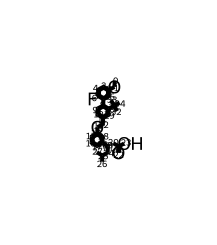 COc1ccc(F)c(-c2ccc(COc3cccc([C@H](CC(=O)O)CC(C)C)c3)cc2C(C)(C)C)c1